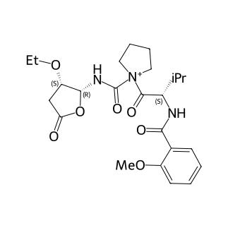 CCO[C@H]1CC(=O)O[C@H]1NC(=O)[N+]1(C(=O)[C@@H](NC(=O)c2ccccc2OC)C(C)C)CCCC1